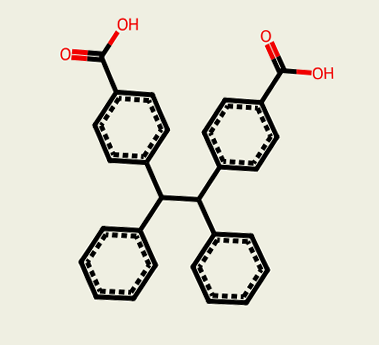 O=C(O)c1ccc(C(c2ccccc2)C(c2ccccc2)c2ccc(C(=O)O)cc2)cc1